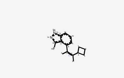 C/C(=C(\C)C1CCC1)c1cccc2[nH]nc(F)c12